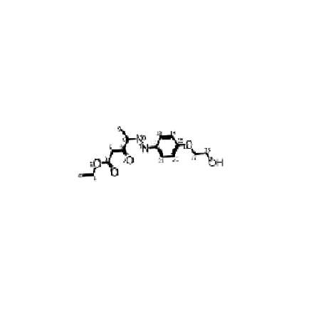 CCOC(=O)CC(=O)C(C)N=Nc1ccc(OCCO)cc1